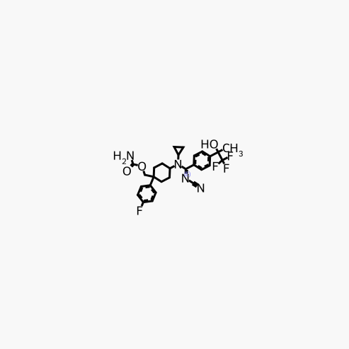 CC(O)(c1ccc(/C(=N\C#N)N(C2CC2)C2CCC(COC(N)=O)(c3ccc(F)cc3)CC2)cc1)C(F)(F)F